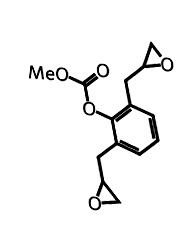 COC(=O)Oc1c(CC2CO2)cccc1CC1CO1